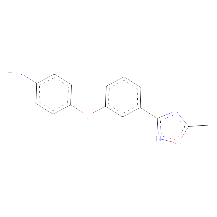 Cc1nc(-c2cccc(Oc3ccc(N)cc3)c2)no1